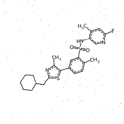 Cc1cc(F)ncc1NS(=O)(=O)c1cc(-c2sc(CC3CCCCC3)nc2C)ccc1C